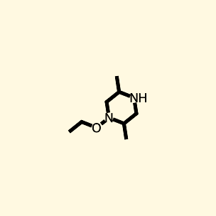 CCON1CC(C)NCC1C